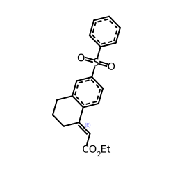 CCOC(=O)/C=C1\CCCc2cc(S(=O)(=O)c3ccccc3)ccc21